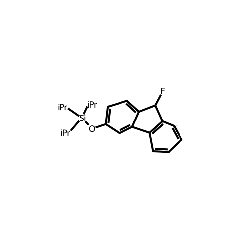 CC(C)[Si](Oc1ccc2c(c1)-c1ccc[c]c1C2F)(C(C)C)C(C)C